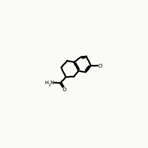 NC(=O)C1CCc2ccc(Cl)cc2C1